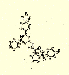 O=C(NCc1cc(-c2ccc(C(F)(F)F)cc2)nc(-c2ccncc2)n1)[C@@H]1CCCN1S(=O)(=O)c1ccc(F)cc1